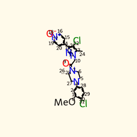 COc1cc(N2CCN(C(=O)Cn3nc(-c4cc[n+]([O-])cc4)c(Cl)c3C)[C@@H](C)C2)ccc1Cl